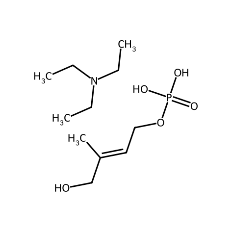 C/C(=C\COP(=O)(O)O)CO.CCN(CC)CC